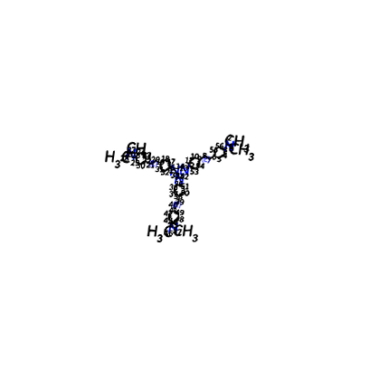 CN(C)c1ccc(/C=C/c2ccc(N3CN(c4ccc(/C=C/c5ccc(N(C)C)cc5)cc4)CN(c4ccc(/C=C/c5ccc(N(C)C)cc5)cc4)C3)cc2)cc1